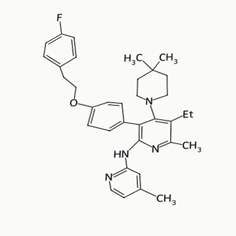 CCc1c(C)nc(Nc2cc(C)ccn2)c(-c2ccc(OCCc3ccc(F)cc3)cc2)c1N1CCC(C)(C)CC1